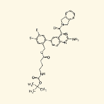 CC(C)(C)OC(=O)NCCCC(=O)OCc1cc(F)c(F)cc1-c1ccc2nc(N)nc(C(=O)N3Cc4ccccc4C3)c2c1